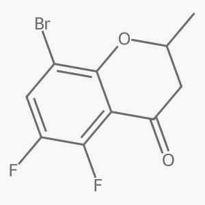 CC1CC(=O)c2c(F)c(F)cc(Br)c2O1